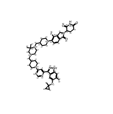 CC1(Oc2cc3c(-c4cc(N5CCC(CN6CCN(CC7CCN(c8ccc9c(c8F)CN(C8CCC(=O)NC8=O)C9=O)CC7)C(C)(C)C6)CC5)ncn4)n[nH]c3cc2F)CC1